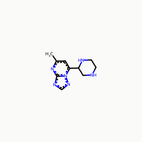 Cc1cc(C2CNCCN2)n2ncnc2n1